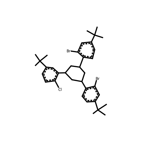 CC(C)(C)c1ccc(C2CC(c3cc(C(C)(C)C)ccc3Cl)CC(c3ccc(C(C)(C)C)cc3Br)C2)c(Br)c1